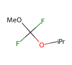 COC(F)(F)OC(C)C